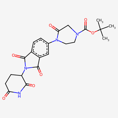 CC(C)(C)OC(=O)N1CCN(c2ccc3c(c2)C(=O)N(C2CCC(=O)NC2=O)C3=O)C(=O)C1